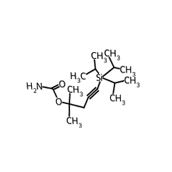 CC(C)[Si](C#CCC(C)(C)OC(N)=O)(C(C)C)C(C)C